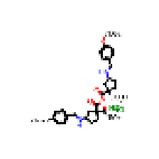 CCCCCCCCCCOc1ccc(CNC2CCC(C(=O)O)(C(=O)OC(=O)C3(C(=O)NC)CCC(NCc4ccc(CCCCCCCCC)cc4)C3)C2)cc1.Cl.Cl